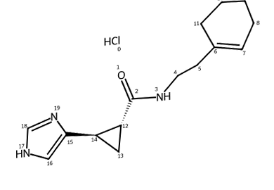 Cl.O=C(NCCC1=CCCCC1)[C@@H]1C[C@H]1c1c[nH]cn1